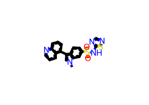 Cn1cc(-c2cccc3ncccc23)c2ccc(S(=O)(=O)Nc3ncns3)cc21